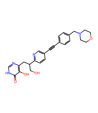 O=c1[nH]cnc(CC(CO)c2ccc(C#Cc3ccc(CN4CCOCC4)cc3)cn2)c1O